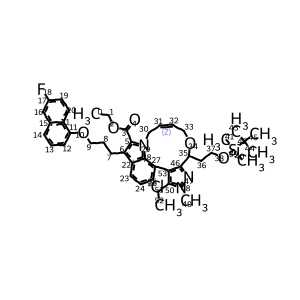 CCOC(=O)c1c(CCCOc2cccc3cc(F)ccc23)c2ccc(Cl)c3c2n1C/C=C\COC(CCO[Si](C)(C)C(C)(C)C)c1nn(C)c(CC)c1-3